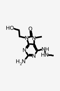 CNNc1nc(N)nc2c1n(C)c(=O)n2CCO